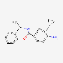 CC(NC(=O)c1ccc(N)c(C2CC2)c1)c1ccccc1